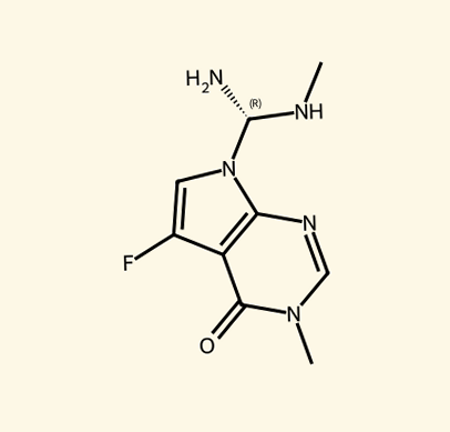 CN[C@@H](N)n1cc(F)c2c(=O)n(C)cnc21